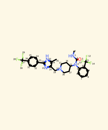 CNC(=O)N(c1ccccc1C(F)(F)F)C1CCN(Cc2nc(-c3ccc(C(F)(F)F)cc3)[nH]c2C)CC1